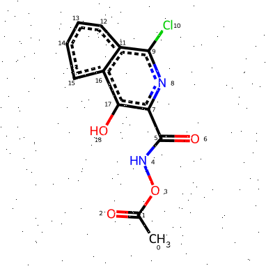 CC(=O)ONC(=O)c1nc(Cl)c2ccccc2c1O